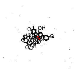 COc1ccc2[nH]c3c(c2c1)C[C@H](CO)N[C@]31CS[C@@H]2c3c(OC(C)=O)c(C)c4c(c3[C@H](COC1=O)N1[C@@H]2[C@H]2c3c(cc(C)c(OC)c3O)C3(C)CC1(C)CN23)OCO4